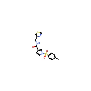 Cc1ccc(S(=O)(=O)n2ccc(C(=O)NCc3cscn3)c2)cc1